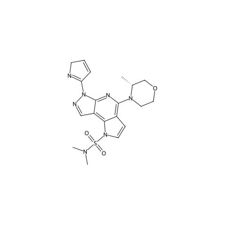 C[C@@H]1COCCN1c1nc2c(cnn2C2=NCC=C2)c2c1ccn2S(=O)(=O)N(C)C